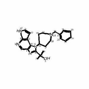 CC(C)(O)c1nc2cnc3[nH]ccc3c2n1C1CCN(Cc2ccccc2)CC1